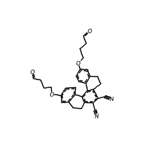 N#Cc1c(C#N)c2c(c3c1CCc1cc(OCCCC=O)ccc1-3)-c1ccc(OCCCC=O)cc1CC2